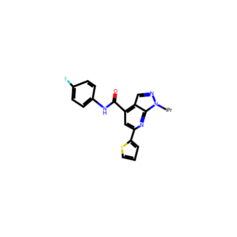 CC(C)n1ncc2c(C(=O)Nc3ccc(F)cc3)cc(-c3cccs3)nc21